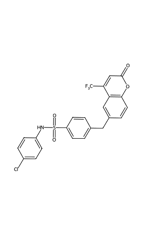 O=c1cc(C(F)(F)F)c2cc(Cc3ccc(S(=O)(=O)Nc4ccc(Cl)cc4)cc3)ccc2o1